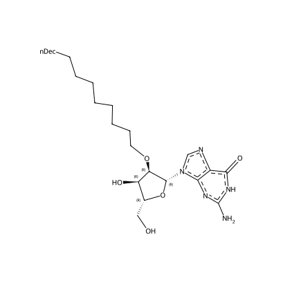 CCCCCCCCCCCCCCCCCCO[C@@H]1[C@H](O)[C@@H](CO)O[C@H]1n1cnc2c(=O)[nH]c(N)nc21